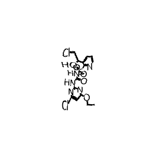 CCOc1cc(Cl)nc(NC(=O)NS(=O)(=O)c2ncccc2C(O)CCl)n1